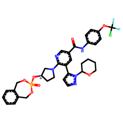 O=C(Nc1ccc(OC(F)(F)Cl)cc1)c1cnc(N2CC[C@@H](OP3(=O)OCc4ccccc4CO3)C2)c(-c2ccnn2C2CCCCO2)c1